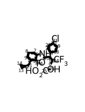 C[C@H]([C@H](C(=O)Nc1cccc(CC2CC2)c1F)c1ccc(Cl)cc1)C(F)(F)F.O=C(O)O